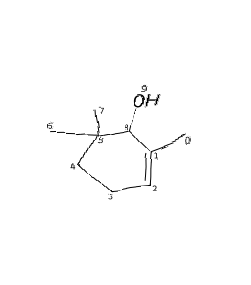 CC1=CCCC(C)(C)C1O